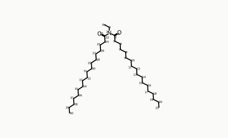 [CH2]CN(C(=O)CCCCCCCCCCCCCCCCC)C(=O)CCCCCCCCCCCCCCCCC